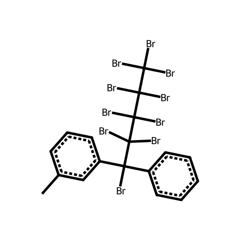 Cc1cccc(C(Br)(c2ccccc2)C(Br)(Br)C(Br)(Br)C(Br)(Br)C(Br)(Br)Br)c1